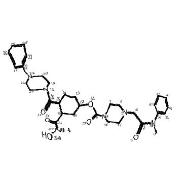 CN(C(=O)CN1CCN(C(=O)OC2CCC(C(=O)N3CCN(c4ccccc4)CC3)C(C(=O)NO)C2)CC1)c1ccccc1